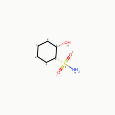 NS(=O)(=O)[C@@H]1CCCC[C@@H]1O